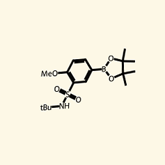 COc1ccc(B2OC(C)(C)C(C)(C)O2)cc1S(=O)(=O)NC(C)(C)C